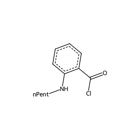 CCCCCNc1ccccc1C(=O)Cl